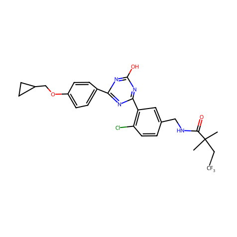 CC(C)(CC(F)(F)F)C(=O)NCc1ccc(Cl)c(-c2nc(O)nc(-c3ccc(OCC4CC4)cc3)n2)c1